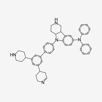 C1=NCCC(c2cc(-c3ccc(N4c5ccc(N(c6ccccc6)c6ccccc6)cc5C5CNCCC54)cc3)cc(C3CCNCC3)c2)C1